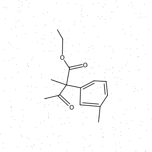 CCOC(=O)C(C)(C(C)=O)c1cccc(C)c1